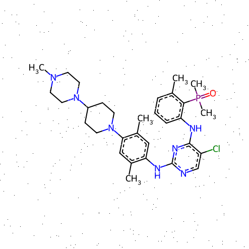 Cc1cc(N2CCC(N3CCN(C)CC3)CC2)c(C)cc1Nc1ncc(Cl)c(Nc2cccc(C)c2P(C)(C)=O)n1